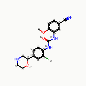 COc1ccc(C#N)cc1NC(=O)Nc1ccc(C2CNCCO2)cc1F